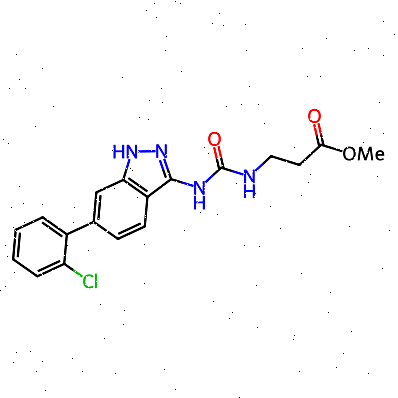 COC(=O)CCNC(=O)Nc1n[nH]c2cc(-c3ccccc3Cl)ccc12